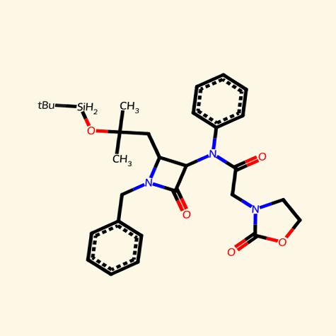 CC(C)(CC1C(N(C(=O)CN2CCOC2=O)c2ccccc2)C(=O)N1Cc1ccccc1)O[SiH2]C(C)(C)C